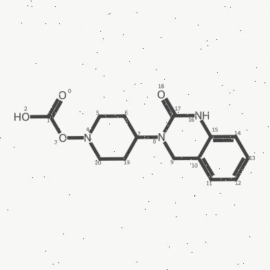 O=C(O)ON1CCC(N2Cc3ccccc3NC2=O)CC1